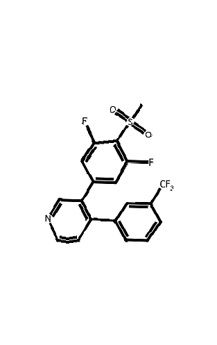 CS(=O)(=O)c1c(F)cc(-c2cnccc2-c2cccc(C(F)(F)F)c2)cc1F